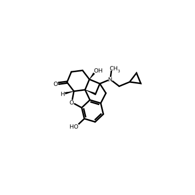 CN(CC1CC1)C12Cc3ccc(O)c4c3[C@]3(C1)[C@H](O4)C(=O)CC[C@]23O